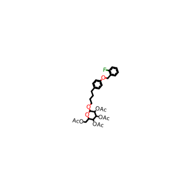 CC(=O)OCC1OC(OCCCCc2ccc(OCc3ccccc3F)cc2)C(OC(C)=O)C(OC(C)=O)C1OC(C)=O